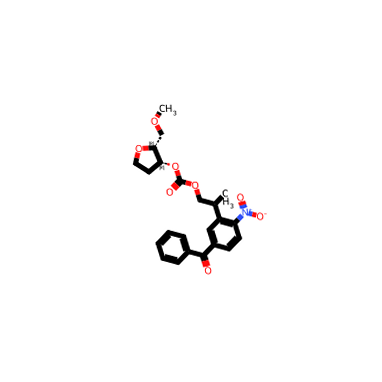 COC[C@H]1OCC[C@H]1OC(=O)OCC(C)c1cc(C(=O)c2ccccc2)ccc1[N+](=O)[O-]